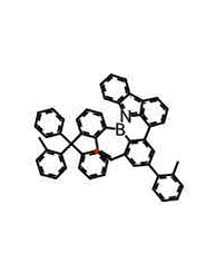 Cc1ccccc1-c1cc2c3c(c1)-c1cccc4c5ccccc5n(c14)B3c1cccc(C(c3ccccc3)(c3ccccc3)c3ccccc3C)c1C=C2